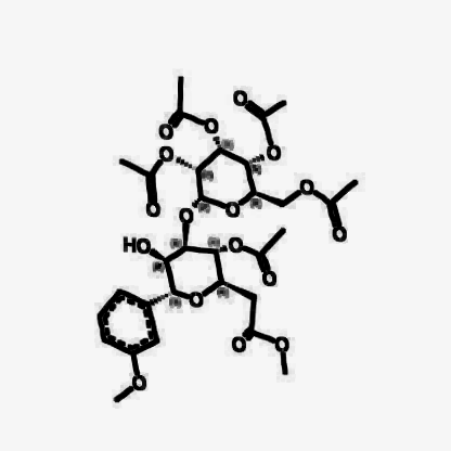 COC(=O)C[C@H]1O[C@H](c2cccc(OC)c2)[C@@H](O)[C@@H](O[C@H]2O[C@H](COC(C)=O)[C@@H](OC(C)=O)[C@@H](OC(C)=O)[C@H]2OC(C)=O)[C@@H]1OC(C)=O